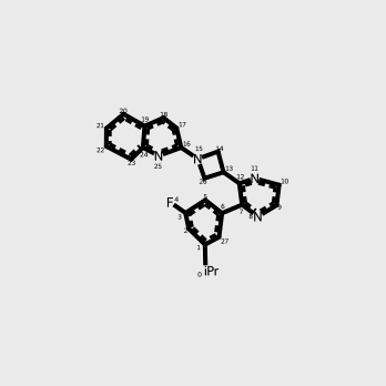 CC(C)c1cc(F)cc(-c2nccnc2C2CN(c3ccc4ccccc4n3)C2)c1